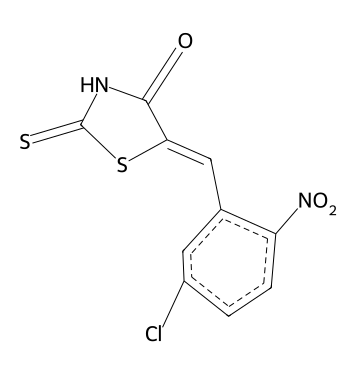 O=C1NC(=S)S/C1=C\c1cc(Cl)ccc1[N+](=O)[O-]